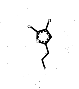 FC[CH]c1cc(Cl)c(Cl)o1